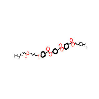 C=CC(=O)OCCCCCCOc1ccc(C(=O)Oc2ccc(C(=O)Oc3ccc(C(=O)OCCC)cc3)cc2)cc1